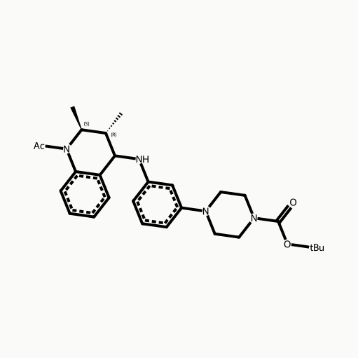 CC(=O)N1c2ccccc2C(Nc2cccc(N3CCN(C(=O)OC(C)(C)C)CC3)c2)[C@@H](C)[C@@H]1C